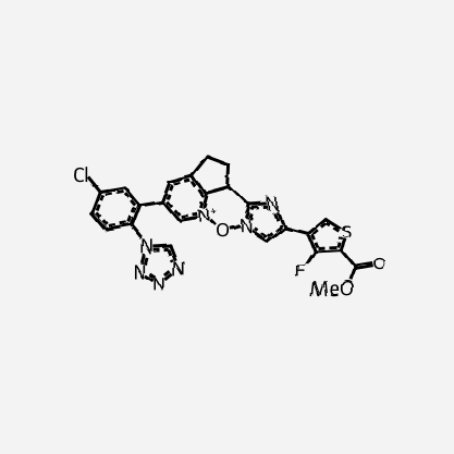 COC(=O)c1scc(-c2cn3c(n2)C2CCc4cc(-c5cc(Cl)ccc5-n5cnnn5)c[n+](c42)O3)c1F